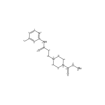 Cc1ccnc(NC(=O)CCN2CCN(C(=O)OC(C)(C)C)CC2)c1